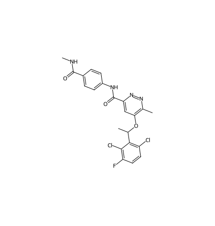 CNC(=O)c1ccc(NC(=O)c2cc(OC(C)c3c(Cl)ccc(F)c3Cl)c(C)nn2)cc1